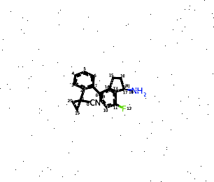 N#CC1(c2ccccc2-c2ccc(F)c3c2CC[C@H]3N)CC1